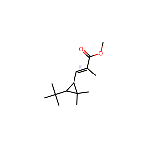 COC(=O)/C(C)=C/C1C(C(C)(C)C)C1(C)C